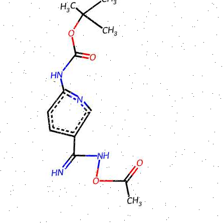 CC(=O)ONC(=N)c1ccc(NC(=O)OC(C)(C)C)nc1